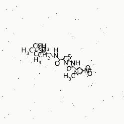 Cn1cc([N+](=O)[O-])cc1C(=O)Nc1nc(C(=O)NCCCO[Si](C)(C)C(C)(C)C)cs1